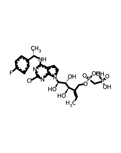 C/C=C(/COP(=O)(O)CP(=O)(O)O)[C@@H](O)[C@@H](O)[C@@H](O)n1ccc2c(N[C@@H](C)c3ccc(F)cc3)nc(Cl)nc21